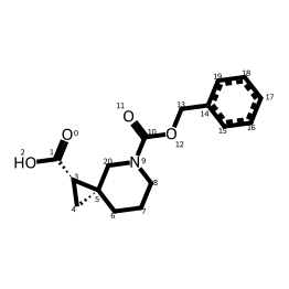 O=C(O)[C@H]1C[C@]12CCCN(C(=O)OCc1ccccc1)C2